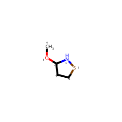 COC1[CH]CSN1